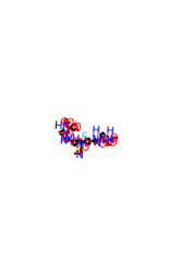 COC(=O)NC(C(=O)N1CCC[C@H]1c1ncc(-c2cc(F)c3c(c2)OC(c2cnc(C)s2)n2c-3cc3cc(-c4cnc([C@@H]5CCCN5C(=O)C(NC(=O)OC)C5C=C(C)O[C@@H](C)C5)[nH]4)ccc32)[nH]1)C(C)C